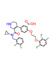 Cc1cccc(CN(C(=O)C2=C(c3ccc(OCCOc4c(F)ccc(C)c4F)cc3)CCNC2)C2CC2)c1C.O=CO